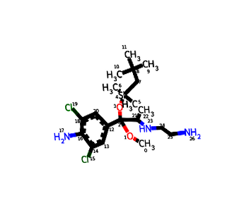 COC(O[Si](C)(C)CC(C)(C)C)(c1cc(Cl)c(N)c(Cl)c1)C(C)NCCN